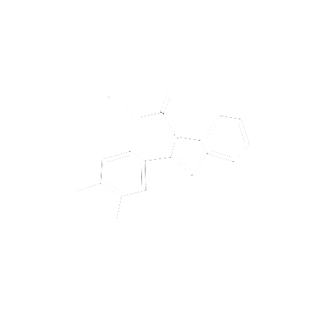 CC(C)(C)OC(=O)n1c(-c2ccc(Br)c(Br)c2)cc2ccccc21